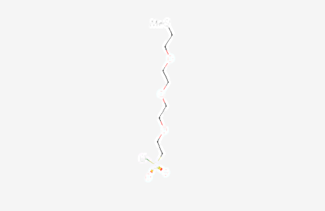 COCCOCCOCCOCCS(=O)(=O)Cl